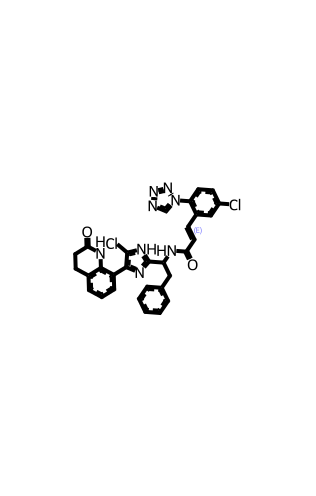 O=C(/C=C/c1cc(Cl)ccc1-n1cnnn1)NC(Cc1ccccc1)c1nc(-c2cccc3c2NC(=O)CC3)c(Cl)[nH]1